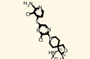 C[C@@H]1OCC2(CCN(c3ncc(Sc4ccnc(N)c4Cl)nc3Cl)CC2)[C@@H]1NC(=O)O